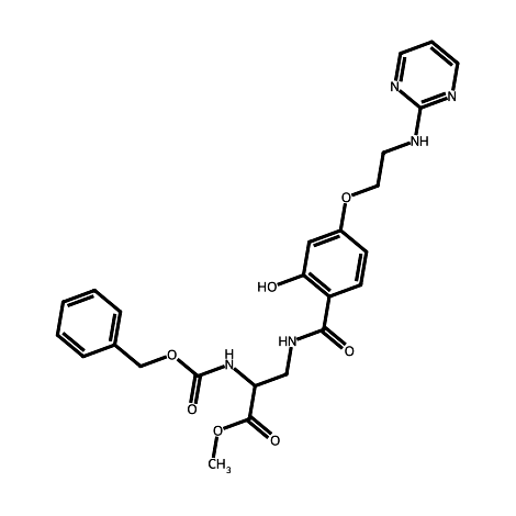 COC(=O)C(CNC(=O)c1ccc(OCCNc2ncccn2)cc1O)NC(=O)OCc1ccccc1